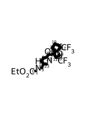 CCOC(=O)CNCc1ccc(C(O)c2cc(C(F)(F)F)nc3c(C(F)(F)F)cccc23)nc1